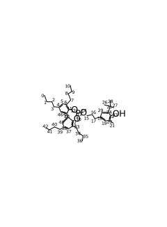 CCCCc1cc(CCCC)c2op(OCCCc3cc(C)c(O)c(C(C)(C)C)c3)oc3c(CCCC)cc(CCCC)cc3c2c1